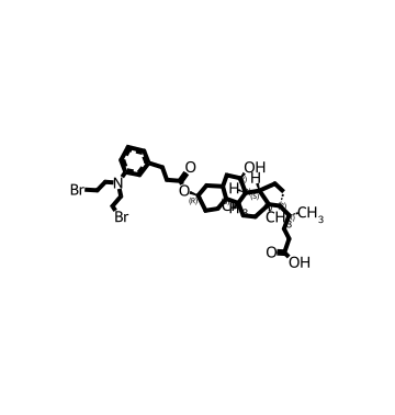 C[C@H](CCC(=O)O)[C@H]1CC[C@H]2[C@@H]3[C@H](O)CC4C[C@H](OC(=O)CCc5cccc(N(CCBr)CCBr)c5)CC[C@]4(C)[C@H]3CC[C@]12C